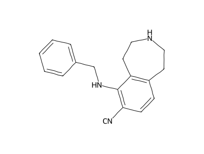 [C-]#[N+]c1ccc2c(c1NCc1ccccc1)CCNCC2